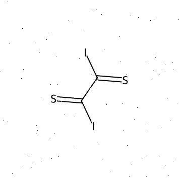 S=C(I)C(=S)I